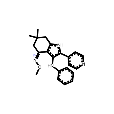 CO/N=C1/CC(C)(C)Cc2[nH]c(-c3ccncc3)c(Nc3ccccc3)c21